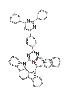 c1ccc(-c2cccc(-n3c4ccccc4c4ccc5c6ccccc6n(-c6nc(-c7ccccc7)nc(-c7ccc(-c8nc(-c9ccccc9)nc(-c9ccccc9)n8)cc7)n6)c5c43)c2)cc1